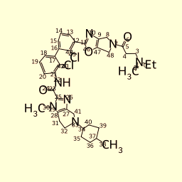 CCN(C)CCC(=O)N1Cc2nc(-c3cccc(-c4cccc(NC(=O)c5nc6c(n5C)CCN(C5CCC(C)CC5)C6)c4Cl)c3Cl)oc2C1